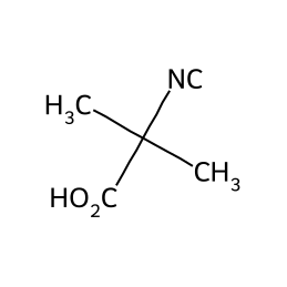 [C-]#[N+]C(C)(C)C(=O)O